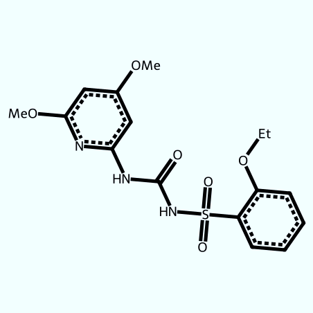 CCOc1ccccc1S(=O)(=O)NC(=O)Nc1cc(OC)cc(OC)n1